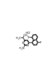 CC(C)c1cc(-c2ccc(F)c3cccc(F)c23)nc(N)n1.Cl